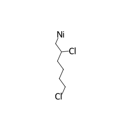 ClCCCCC(Cl)[CH2][Ni]